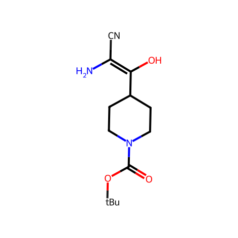 CC(C)(C)OC(=O)N1CCC(/C(O)=C(\N)C#N)CC1